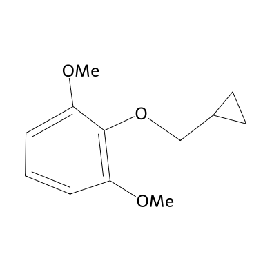 COc1cccc(OC)c1OCC1CC1